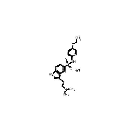 CCOc1ccc(NS(=O)(=O)c2ccc3[nH]cc(CCN(C)C)c3c2)cc1.Cl